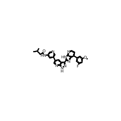 COc1cc(F)cc(-c2ccnc3[nH]c(-c4n[nH]c5ncc(-c6cncc(NC(=O)CC(C)C)c6)cc45)nc23)c1